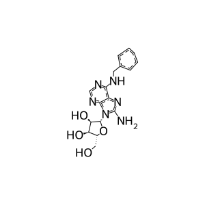 Nc1nc2c(NCc3ccccc3)ncnc2n1[C@@H]1O[C@H](CO)[C@@H](O)[C@H]1O